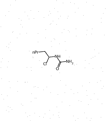 CCCCC(Cl)NC(N)=O